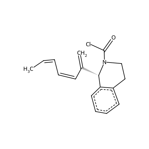 C=C(/C=C\C=C/C)[C@H]1c2ccccc2CCN1C(=O)Cl